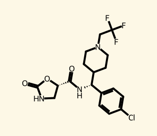 O=C1NC[C@@H](C(=O)N[C@@H](c2ccc(Cl)cc2)C2CCN(CC(F)(F)F)CC2)O1